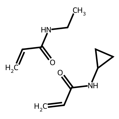 C=CC(=O)NC1CC1.C=CC(=O)NCC